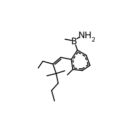 CCCC(C)(C)/C(=C\c1c(C)cccc1B(C)N)CC